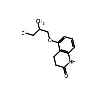 CC(CCl)COc1cccc2c1CCC(=O)N2